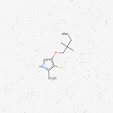 CCCCCCCCCCCC(C)(C)COc1c[nH]c(C(=O)OCC)c1F